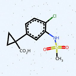 CS(=O)(=O)Nc1cc(C2(C(=O)O)CC2)ccc1Cl